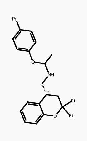 CCC1(CC)C[C@@H](CNC(C)Oc2ccc(C(C)C)cc2)c2ccccc2O1